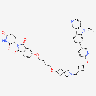 Cn1c2ccncc2c2ccc(-c3ccc(O[C@H]4C[C@H](CN5CC6(CC(OCCCCOc7ccc8c(c7)C(=O)N(C7CCC(=O)NC7=O)C8=O)C6)C5)C4)nc3)cc21